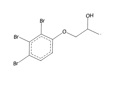 [CH2]C(O)COc1ccc(Br)c(Br)c1Br